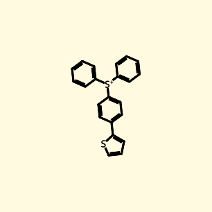 c1ccc([S+](c2ccccc2)c2ccc(-c3cccs3)cc2)cc1